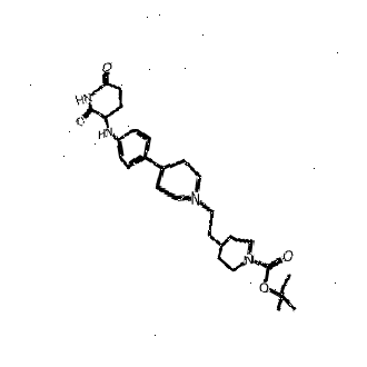 CC(C)(C)OC(=O)N1CCC(CCN2CCC(c3ccc(NC4CCC(=O)NC4=O)cc3)CC2)CC1